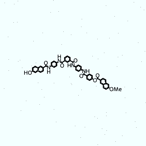 COc1ccc2cc(C(=O)Oc3ccc(C(=O)Nc4ccc(NC(=O)c5cccc(C(=O)Nc6ccc(NC(=O)c7ccc8cc(O)ccc8c7)cc6)c5)cc4)cc3)ccc2c1